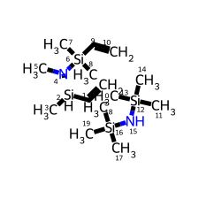 C=C[SiH](C)N(C)[Si](C)(C)C=C.C[Si](C)(C)N[Si](C)(C)C